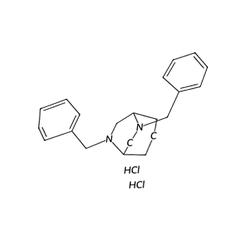 Cl.Cl.c1ccc(CN2CC3CCCC2CN3Cc2ccccc2)cc1